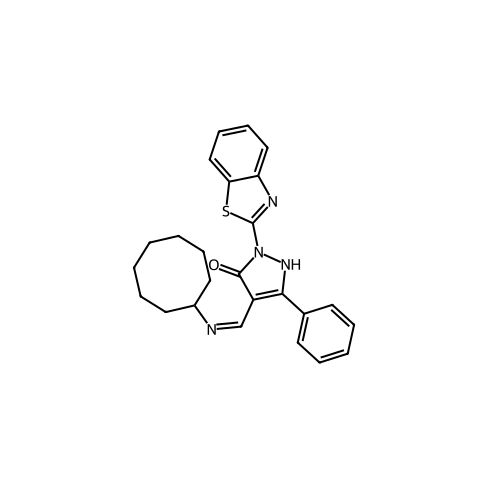 O=c1c(/C=N\C2CCCCCCC2)c(-c2ccccc2)[nH]n1-c1nc2ccccc2s1